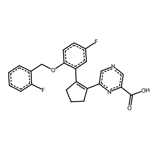 O=C(O)c1cncc(C2=C(c3cc(F)ccc3OCc3ccccc3F)CCC2)n1